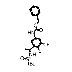 CC(N[S@+]([O-])C(C)(C)C)c1cc(NC(=O)OCc2ccccc2)cc(C(F)(F)F)c1F